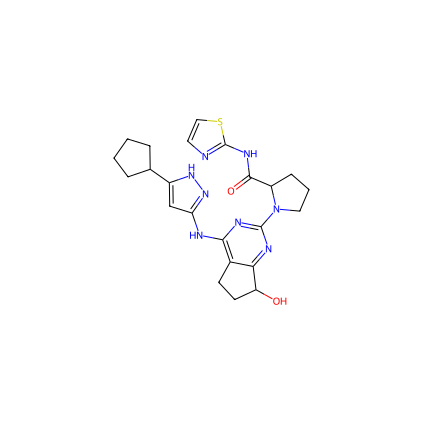 O=C(Nc1nccs1)C1CCCN1c1nc(Nc2cc(C3CCCC3)[nH]n2)c2c(n1)C(O)CC2